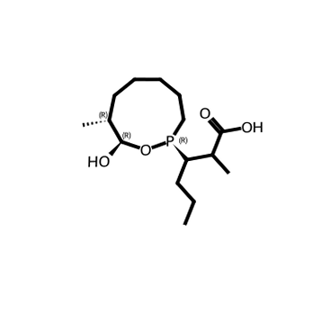 CCCC(C(C)C(=O)O)[P@]1CCCCC[C@@H](C)[C@H](O)O1